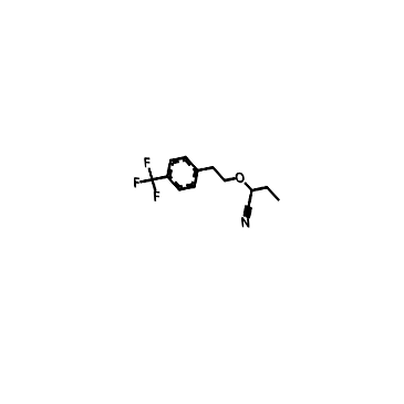 CCC(C#N)OCCc1ccc(C(F)(F)F)cc1